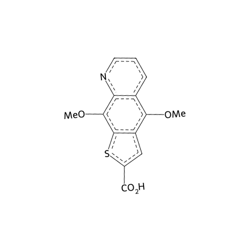 COc1c2cccnc2c(OC)c2sc(C(=O)O)cc12